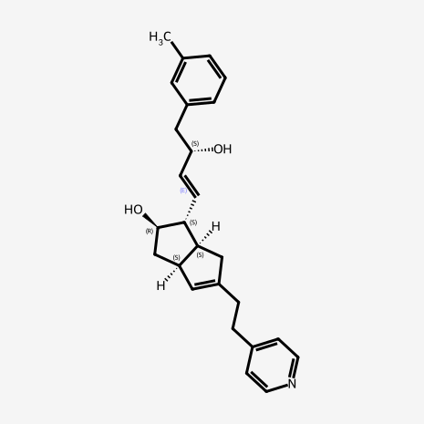 Cc1cccc(C[C@H](O)/C=C/[C@@H]2[C@H]3CC(CCc4ccncc4)=C[C@H]3C[C@H]2O)c1